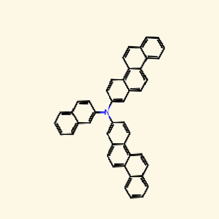 c1ccc2cc(N(c3ccc4c(ccc5c6ccccc6ccc45)c3)c3ccc4c(ccc5c6ccccc6ccc45)c3)ccc2c1